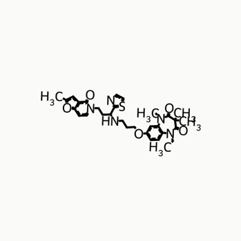 CCN1C(=O)C(C)(C)C(=O)N(C)c2cc(OCCCNC(CCn3ccc4oc(C)cc4c3=O)c3nccs3)ccc21